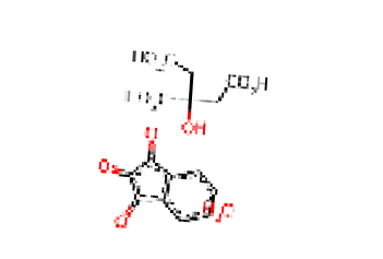 O.O=C(O)CC(O)(CC(=O)O)C(=O)O.O=c1c(=O)c2ccccc2c1=O